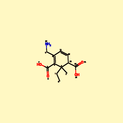 CCC1(C)C(C(=O)O)=C(CN)C=CC1C(=O)O